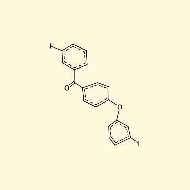 O=C(c1ccc(Oc2cccc(I)c2)cc1)c1cccc(I)c1